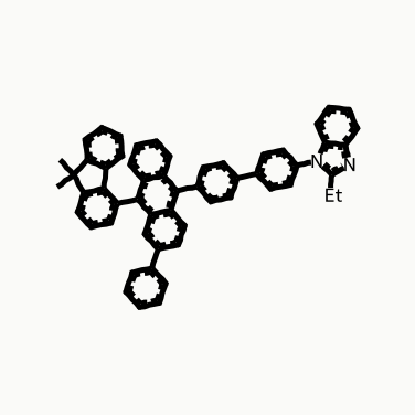 CCc1nc2ccccc2n1-c1ccc(-c2ccc(-c3c4ccccc4c(-c4cccc5c4-c4ccccc4C5(C)C)c4cc(-c5ccccc5)ccc34)cc2)cc1